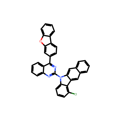 Clc1cccc2c1c1cc3ccccc3cc1n2-c1nc(-c2ccc3c(c2)oc2ccccc23)c2ccccc2n1